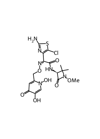 CON1C(=O)[C@@H](NC(=O)/C(=N\OCc2cc(=O)c(O)cn2O)c2nc(N)sc2Cl)C1(C)C